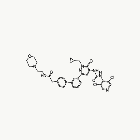 O=C(Cc1ccc(-c2cccc(-c3cc(NC(=O)Nc4c(Cl)cncc4Cl)c(=O)n(CC4CC4)n3)c2)cc1)NCCN1CCOCC1